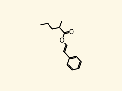 CCCC(C)C(=O)O/C=C/c1ccccc1